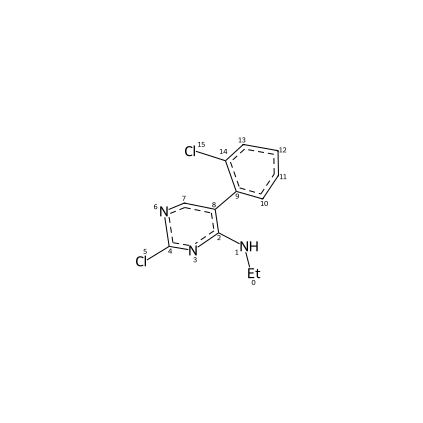 CCNc1nc(Cl)ncc1-c1ccccc1Cl